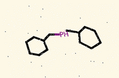 C1CCC(CPCC2CCCCC2)CC1